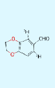 [2H]c1cc2c(c([2H])c1C=O)OCCO2